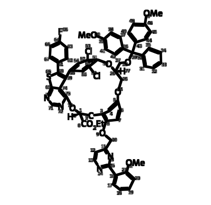 CCOC(=O)[C@H]1Cc2cc(ccc2OCc2ccnc(-c3ccccc3OC)n2)OC[C@@H](COC(c2ccccc2)(c2ccc(OC)cc2)c2ccc(OC)cc2)Oc2c(Cl)cc(cc2Cl)-c2c(-c3ccc(F)cc3)sc3ncnc(c23)O1